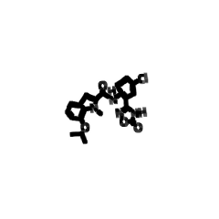 CC(C)Oc1cccc2cc(C(=O)Nc3ccc(Cl)cc3-c3noc(=O)[nH]3)n(C)c12